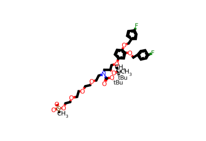 CC(C)(C)OC(=O)N(CCOCCOCCOCCOS(C)(=O)=O)CC(COc1ccc(OCc2ccc(F)cc2)c(OCc2ccc(F)cc2)c1)O[Si](C)(C)C(C)(C)C